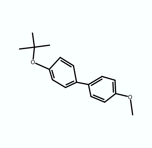 COc1ccc(-c2ccc(OC(C)(C)C)cc2)cc1